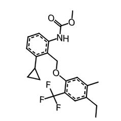 CCc1cc(C(F)(F)F)c(OCc2c(NC(=O)OC)cccc2C2CC2)cc1C